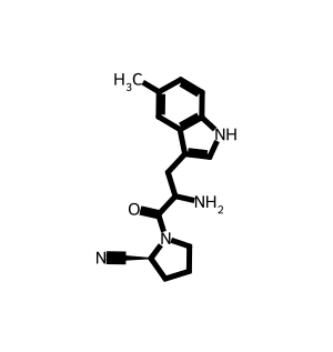 Cc1ccc2[nH]cc(CC(N)C(=O)N3CCC[C@H]3C#N)c2c1